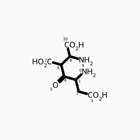 NC(CC(=O)O)C(=O)C(C(=O)O)C(N)C(=O)O